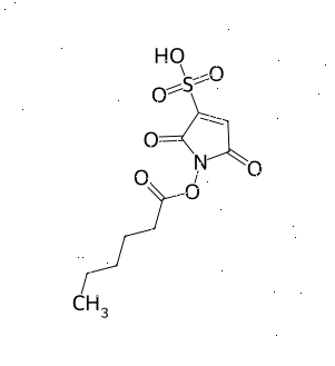 CCCCCC(=O)ON1C(=O)C=C(S(=O)(=O)O)C1=O